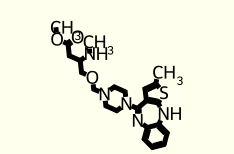 CNC(COCN1CCN(C2=Nc3ccccc3Nc3sc(C)cc32)CC1)CC(=O)OC